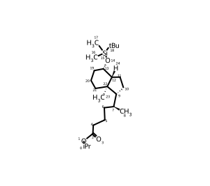 CC(C)OC(=O)CCC[C@H](C)[C@H]1CC[C@H]2[C@@H](O[Si](C)(C)C(C)(C)C)CCC[C@]12C